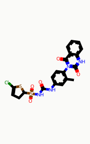 Cc1cc(NC(=O)NS(=O)(=O)C2CC=C(Cl)S2)ccc1-n1c(=O)[nH]c2ccccc2c1=O